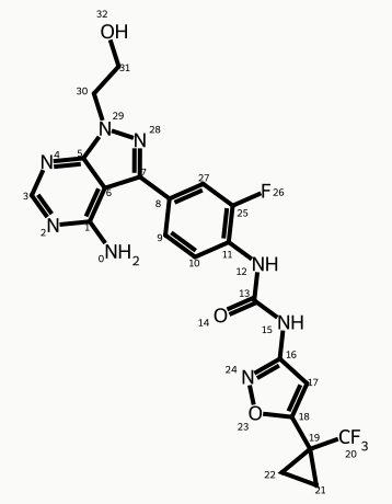 Nc1ncnc2c1c(-c1ccc(NC(=O)Nc3cc(C4(C(F)(F)F)CC4)on3)c(F)c1)nn2CCO